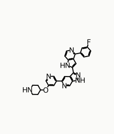 Fc1cccc(-c2nccc3[nH]c(-c4n[nH]c5cnc(-c6cncc(OC7CCNCC7)c6)cc45)cc23)c1